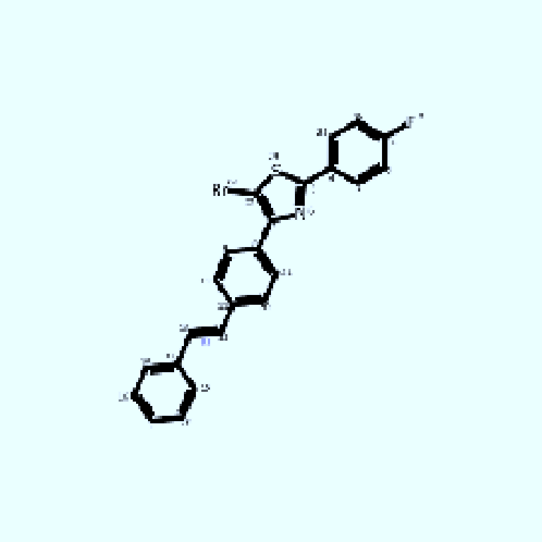 Fc1ccc(-c2nc(-c3ccc(/C=C/c4ccccc4)cc3)c(Br)s2)cc1